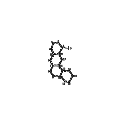 Ic1cccc2cc3ccc4ccccc4c3cc12